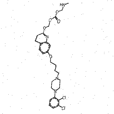 CNCOC(=O)OCOC1=Nc2cc(OCCCCN3CCN(c4cccc(Cl)c4Cl)CC3)ccc2CC1